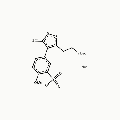 CCCCCCCCCCCCc1ssc(=S)c1-c1ccc(OC)c(S(=O)(=O)[O-])c1.[Na+]